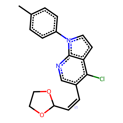 Cc1ccc(-n2ccc3c(Cl)c(/C=C\C4OCCO4)cnc32)cc1